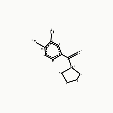 CCc1cc(C(=O)N2CCCC2)ccc1F